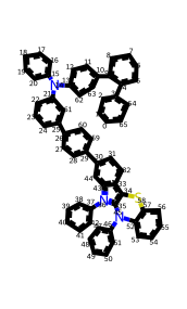 c1ccc(-c2ccccc2-c2ccc(N(c3ccccc3)c3cccc(-c4ccc(-c5ccc6c7c(n(-c8ccccc8)c6c5)N(c5ccccc5)c5ccccc5S7)cc4)c3)cc2)cc1